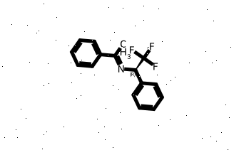 CC(=N[C@H](c1ccccc1)C(F)(F)F)c1ccccc1